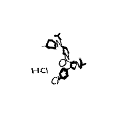 CC(C)CN([C@H]1CCN(C(=O)[C@@H]2CN(C(C)(C)C)C[C@H]2c2ccc(Cl)cc2)C1)[C@H]1CC[C@@H](C)CC1.Cl